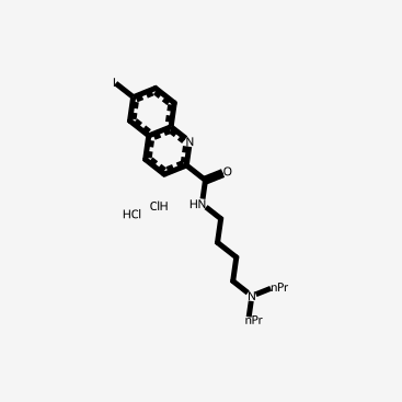 CCCN(CCC)CCCCNC(=O)c1ccc2cc(I)ccc2n1.Cl.Cl